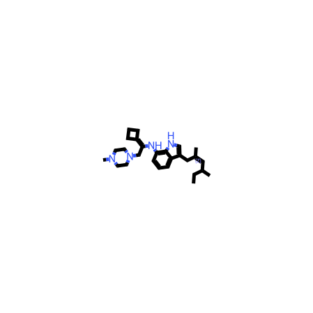 CCC(C)/C=C(/C)Cc1c[nH]c2c(NC(CN3CCN(C)CC3)=C3CCC3)cccc12